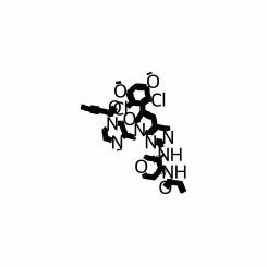 C=CC(=O)N[C@H]1CCOC[C@H]1Nc1ncc2cc(-c3c(Cl)c(OC)cc(OC)c3Cl)c(=O)n(CC3CN(C(=O)C#CC)CCN3C)c2n1